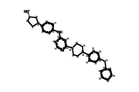 O[C@H]1CCN(c2ccc(Nc3ncnc(N4CCN(c5ncc(Cc6ccccc6)cn5)CC4)n3)cc2)C1